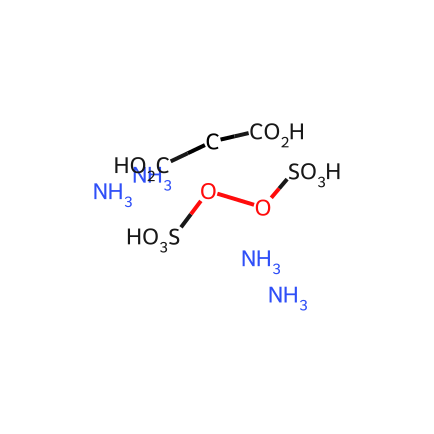 N.N.N.N.O=C(O)CC(=O)O.O=S(=O)(O)OOS(=O)(=O)O